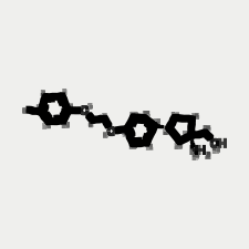 Cc1ccc(OCCOc2ccc([C@@H]3CC[C@@](N)(CO)C3)cc2)cc1